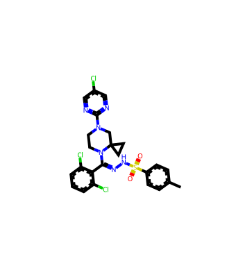 Cc1ccc(S(=O)(=O)N/N=C(/c2c(Cl)cccc2Cl)N2CCN(c3ncc(Cl)cn3)CC23CC3)cc1